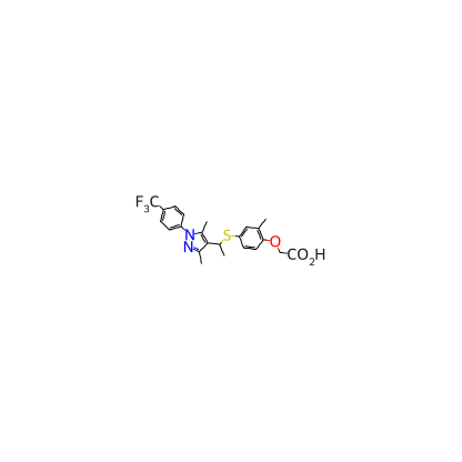 Cc1cc(SC(C)c2c(C)nn(-c3ccc(C(F)(F)F)cc3)c2C)ccc1OCC(=O)O